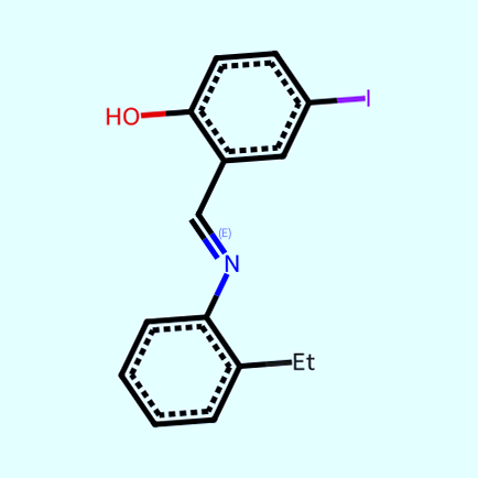 CCc1ccccc1/N=C/c1cc(I)ccc1O